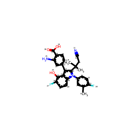 Cc1cc(-n2c(C(C)(C)CC#N)c(-c3ccc(C(=O)O)c(N)c3)c3c(O)c(F)ccc32)ccc1F